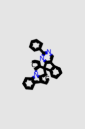 c1ccc(-c2ncc3c(n2)C2(c4ccccc4-3)c3ccccc3-n3c4ccccc4c4cccc2c43)cc1